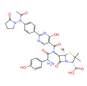 CC(=O)N(c1ccc(-c2ncc(C(=O)N(C(=O)C(N)c3ccc(O)cc3)[C@@H]3C(=O)N4[C@@H]3SC(C)(C)[C@@H]4C(=O)O)c(O)n2)cc1)N1CCCC1=O